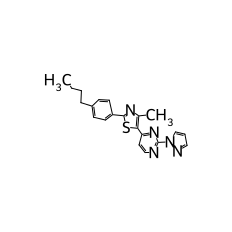 CCCCc1ccc(-c2nc(C)c(-c3ccnc(-n4cccn4)n3)s2)cc1